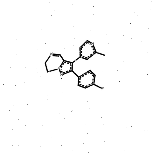 Cc1cc(-c2c(-c3ccc(F)cc3)nn3c2C=NCC3)ccn1